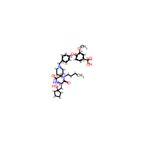 CCCCN1C(=O)[C@@H](CC2(O)CCCC2)NC(=O)C12CCN(Cc1ccc(Oc3ccc(C(=O)O)cc3OC)cc1)CC2